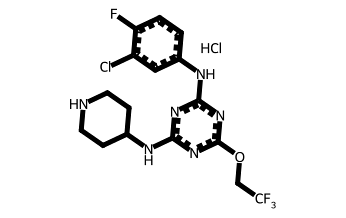 Cl.Fc1ccc(Nc2nc(NC3CCNCC3)nc(OCC(F)(F)F)n2)cc1Cl